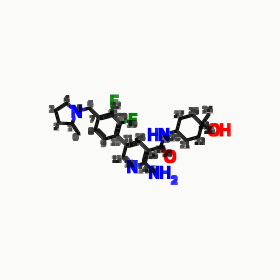 CC1CCCN1Cc1ccc(-c2cnc(N)c(C(=O)NC3CCC(C)(O)CC3)c2)c(F)c1F